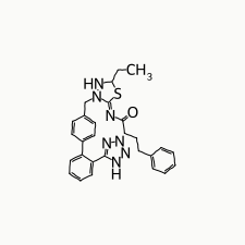 CCC1NN(Cc2ccc(-c3ccccc3-c3nnn[nH]3)cc2)C(=NC(=O)CCCc2ccccc2)S1